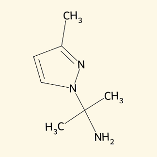 Cc1ccn(C(C)(C)N)n1